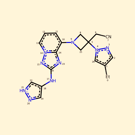 CCc1cnn(C2(CC#N)CN(c3cccn4nc(Nc5cn[nH]c5)nc34)C2)c1